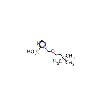 C[Si](C)(C)CCOCn1ccnc1C(=O)O